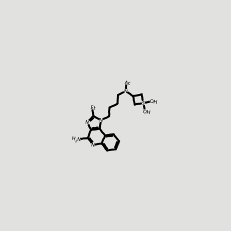 CCc1nc2c(N)nc3ccccc3c2n1CCCCN(C(C)=O)C1CS(O)(O)C1